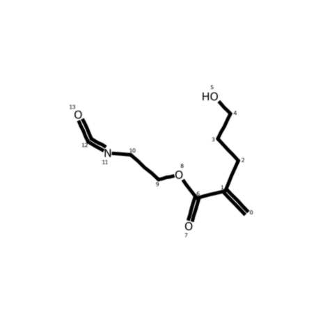 C=C(CCCO)C(=O)OCCN=C=O